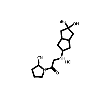 CCCCC1(O)CC2CC(NCC(=O)N3CCCC3C#N)CC2C1.Cl